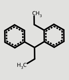 CCc1ccccc1C(CC)c1ccccc1